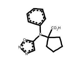 O=C(O)C1(N(c2ccccc2)c2cnno2)CCCC1